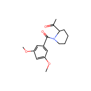 COc1cc(OC)cc(C(=O)N2CCCCC2C(C)=O)c1